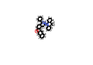 CC1(C)c2ccccc2N(c2cc3c(ccc4oc5cc6ccccc6cc5c43)c(-c3ccccc3)n2)c2ccccc21